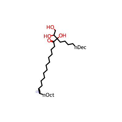 CCCCCCCC/C=C\CCCCCCCCCCCC(=O)C(O)(CCCCCCCCCCCCCC)C(O)CO